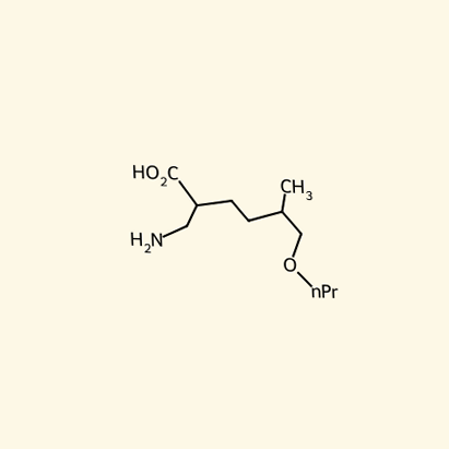 CCCOCC(C)CCC(CN)C(=O)O